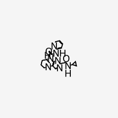 O=C(NC1CC1)c1ncc2c(n1)N(C(=O)Nc1ccccn1)[C@H]1CCCN2C1